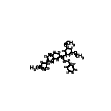 COc1cc(OC)cc(N(CCc2ccccc2)c2ccc3ncc(-c4cnn(C)c4)nc3c2)c1